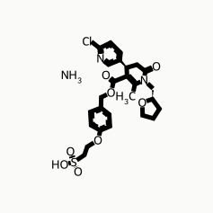 CC1=C(C(=O)OCc2ccc(OCCS(=O)(=O)O)cc2)[C@@H](c2ccc(Cl)nc2)CC(=O)N1C[C@@H]1CCCO1.N